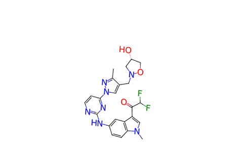 Cc1nn(-c2ccnc(Nc3ccc4c(c3)c(C(=O)C(F)F)cn4C)n2)cc1CN1C[C@H](O)CO1